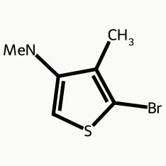 CNc1csc(Br)c1C